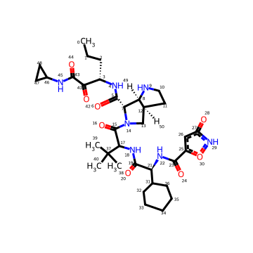 CCC[C@H](NC(=O)[C@@H]1[C@H]2NCC[C@H]2CN1C(=O)C(NC(=O)[C@@H](NC(=O)c1cc(=O)[nH]o1)C1CCCCC1)C(C)(C)C)C(=O)C(=O)NC1CC1